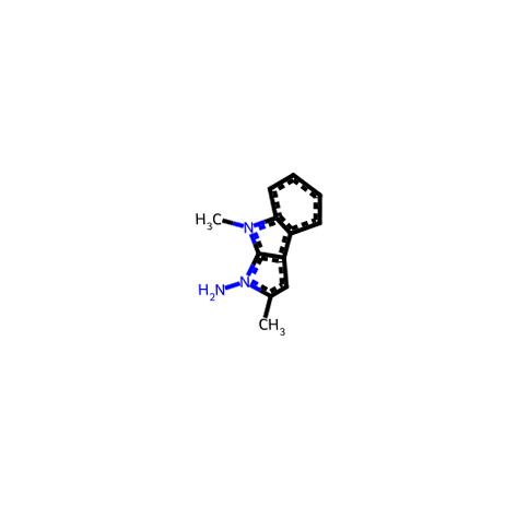 Cc1cc2c3ccccc3n(C)c2n1N